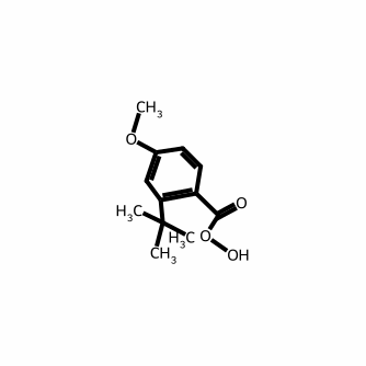 COc1ccc(C(=O)OO)c(C(C)(C)C)c1